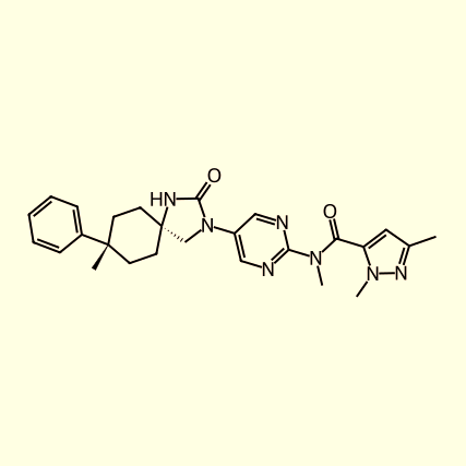 Cc1cc(C(=O)N(C)c2ncc(N3C[C@]4(CC[C@@](C)(c5ccccc5)CC4)NC3=O)cn2)n(C)n1